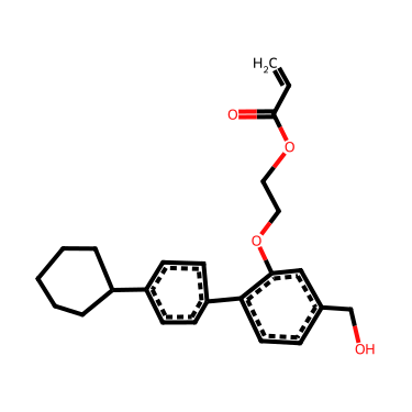 C=CC(=O)OCCOc1cc(CO)ccc1-c1ccc(C2CCCCC2)cc1